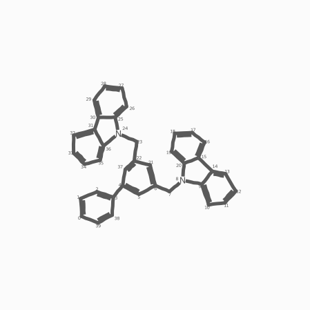 c1ccc(-c2cc(Cn3c4ccccc4c4ccccc43)cc(Cn3c4ccccc4c4ccccc43)c2)cc1